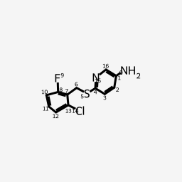 Nc1ccc(SCc2c(F)cccc2Cl)nc1